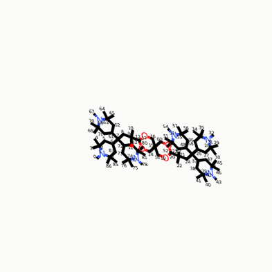 CN1C(C)(C)CC(C(CC(C)(C)C2OCC3(CO2)COC(C(C)(C)CC(C2CC(C)(C)N(C)C(C)(C)C2)(C2CC(C)(C)N(C)C(C)(C)C2)C2CC(C)(C)N(C)C(C)(C)C2)OC3)(C2CC(C)(C)N(C)C(C)(C)C2)C2CC(C)(C)N(C)C(C)(C)C2)CC1(C)C